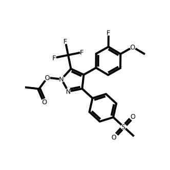 COc1ccc(-c2c(-c3ccc(S(C)(=O)=O)cc3)nn(OC(C)=O)c2C(F)(F)F)cc1F